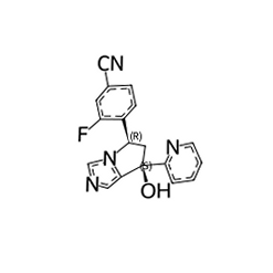 N#Cc1ccc([C@H]2C[C@](O)(c3ccccn3)c3cncn32)c(F)c1